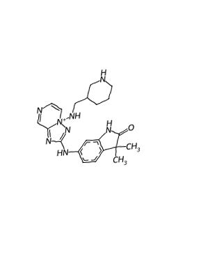 CC1(C)C(=O)Nc2cc(NC3=N[N+]4(NCC5CCCNC5)C=CN=CC4=N3)ccc21